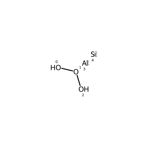 OOO.[Al].[Si]